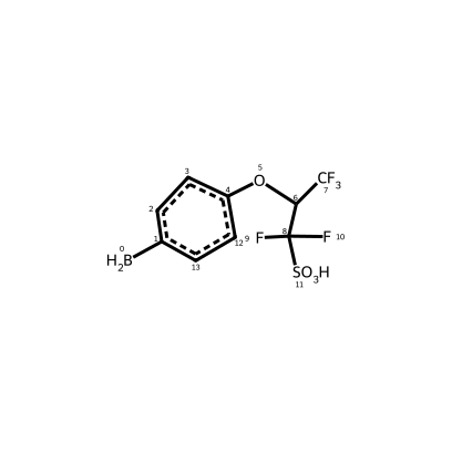 Bc1ccc(OC(C(F)(F)F)C(F)(F)S(=O)(=O)O)cc1